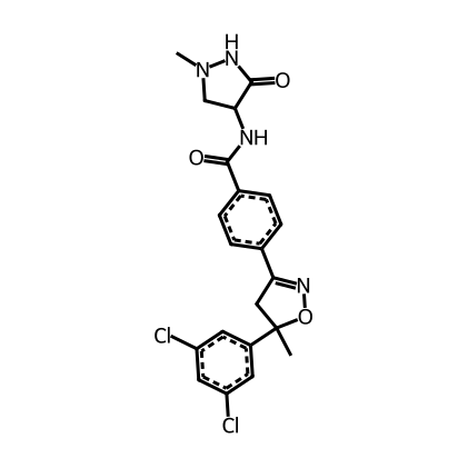 CN1CC(NC(=O)c2ccc(C3=NOC(C)(c4cc(Cl)cc(Cl)c4)C3)cc2)C(=O)N1